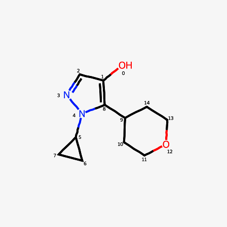 Oc1cnn(C2CC2)c1C1CCOCC1